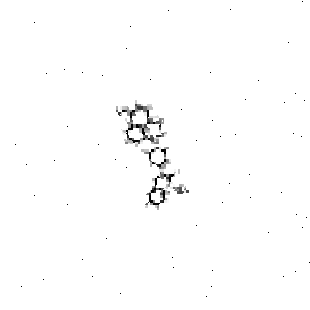 CC(C)(C)OC(=O)N(Cc1ccccc1)[C@H]1CC[C@H](N2CCc3cnc(Cl)c4cccc2c34)CC1